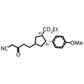 CCOC(=O)[C@@H]1CC(CCC(=O)CC#N)C[C@H]1c1ccc(OC)cc1